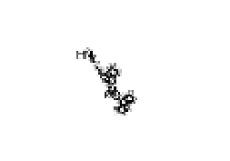 CNCCCCCCOCC(COC(=O)OCC1c2ccccc2-c2ccccc21)OC1CCCCO1